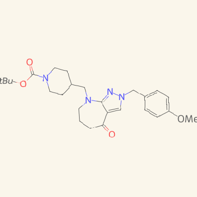 COc1ccc(Cn2cc3c(n2)N(CC2CCN(C(=O)OC(C)(C)C)CC2)CCCC3=O)cc1